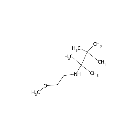 COCCNC(C)(C)C(C)(C)C